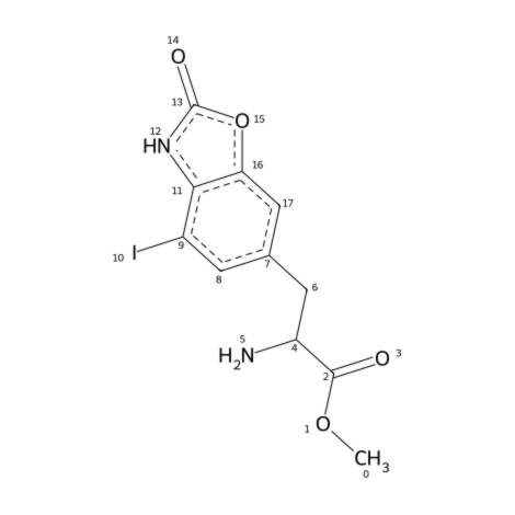 COC(=O)C(N)Cc1cc(I)c2[nH]c(=O)oc2c1